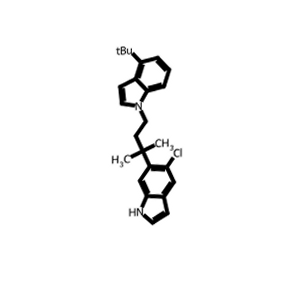 CC(C)(C)c1cccc2c1ccn2CCC(C)(C)c1cc2[nH]ccc2cc1Cl